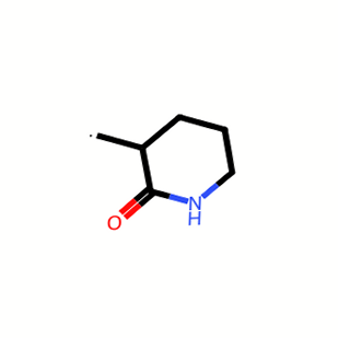 [CH2]C1CCCNC1=O